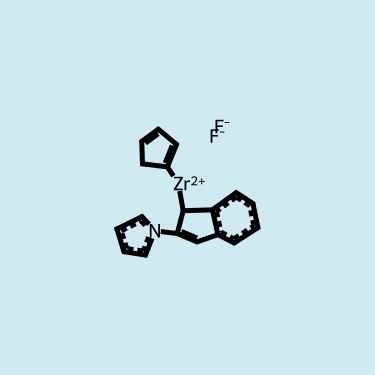 C1=CC[C]([Zr+2][CH]2C(n3cccc3)=Cc3ccccc32)=C1.[F-].[F-]